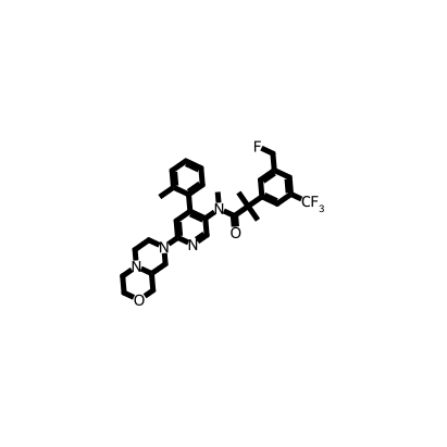 Cc1ccccc1-c1cc(N2CCN3CCOCC3C2)ncc1N(C)C(=O)C(C)(C)c1cc(CF)cc(C(F)(F)F)c1